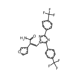 NC(=O)C(=Cn1nc(-c2ccc(C(F)(F)F)cc2)nc1-c1ccc(C(F)(F)F)cc1)c1ccoc1